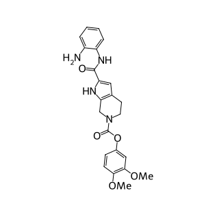 COc1ccc(OC(=O)N2CCc3cc(C(=O)Nc4ccccc4N)[nH]c3C2)cc1OC